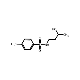 Cc1ccc(S(=O)(=O)NCCC(C)O)cc1